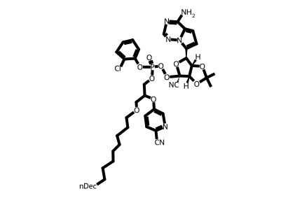 CCCCCCCCCCCCCCCCCCOCC(COP(=O)(OO[C@@]1(C#N)O[C@@H](c2ccc3c(N)ncnn23)[C@@H]2OC(C)(C)O[C@@H]21)Oc1ccccc1Cl)Oc1ccc(C#N)nc1